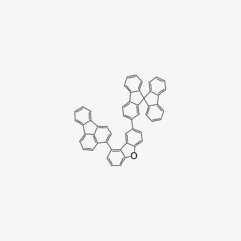 c1ccc2c(c1)-c1cccc3c(-c4cccc5oc6ccc(-c7ccc8c(c7)C7(c9ccccc9-c9ccccc97)c7ccccc7-8)cc6c45)ccc-2c13